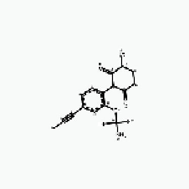 CC#Cc1ccc(C2C(=O)CCC(CC)C2=O)c(OC(N)(F)F)c1